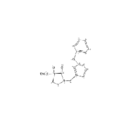 CCOC(=O)C1(Cl)CCN(Cc2cccc(Oc3ccccc3)c2)C1=O